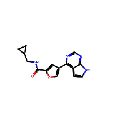 O=C(NCC1CC1)c1cc(-c2ncnc3[nH]ccc23)co1